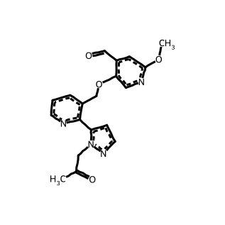 COc1cc(C=O)c(OCc2cccnc2-c2ccnn2CC(C)=O)cn1